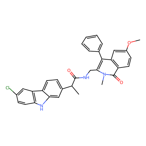 COc1ccc2c(=O)n(C)c(CNC(=O)C(C)c3ccc4c(c3)[nH]c3ccc(Cl)cc34)c(-c3ccccc3)c2c1